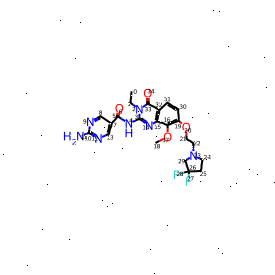 CCn1c(NC(=O)c2cnc(N)nc2)nc2c(OC)c(OCCN3CCC(F)(F)C3)ccc2c1=O